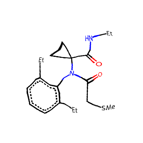 CCNC(=O)C1(N(C(=O)CSC)c2c(CC)cccc2CC)CC1